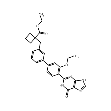 CCOC(=O)C1(Cc2cccc(-c3ccc(-c4nc5[nH]cnc5c(=O)[nH]4)c(OCC)c3)c2)CCC1